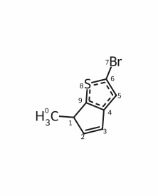 CC1C=Cc2cc(Br)sc21